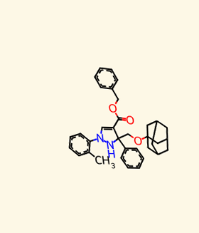 Cc1ccccc1N1C=C(C(=O)OCc2ccccc2)C(COC23CC4CC(CC(C4)C2)C3)(c2ccccc2)N1